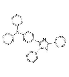 c1ccc(-c2nc(-c3ccccc3)n(-c3ccc(N(c4ccccc4)c4ccccc4)cc3)n2)cc1